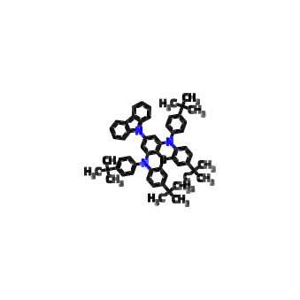 CC(C)(C)c1ccc(N2c3ccc(C(C)(C)C)cc3B3c4cc(C(C)(C)C)ccc4N(c4ccc(C(C)(C)C)cc4)c4cc(-n5c6ccccc6c6ccccc65)cc2c43)cc1